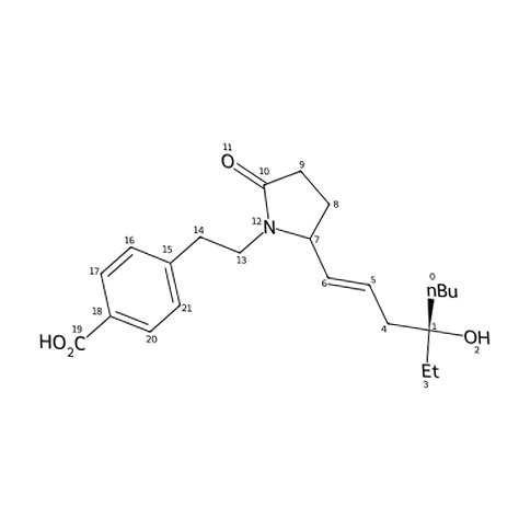 CCCC[C@@](O)(CC)C/C=C/C1CCC(=O)N1CCc1ccc(C(=O)O)cc1